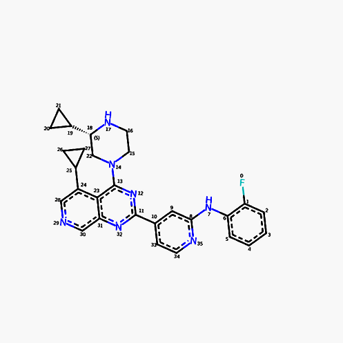 Fc1ccccc1Nc1cc(-c2nc(N3CCN[C@@H](C4CC4)C3)c3c(C4CC4)cncc3n2)ccn1